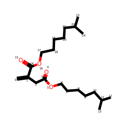 C=C(CC(=O)OCCCCCC(C)C)C(=O)OCCCCCC(C)C